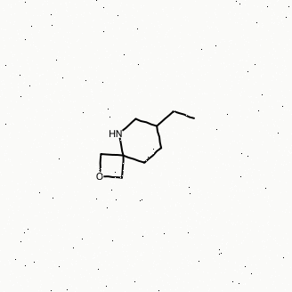 CCC1CCC2(COC2)NC1